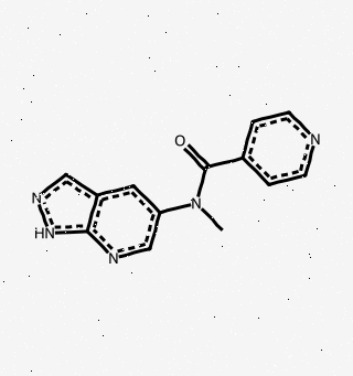 CN(C(=O)c1ccncc1)c1cnc2[nH]ncc2c1